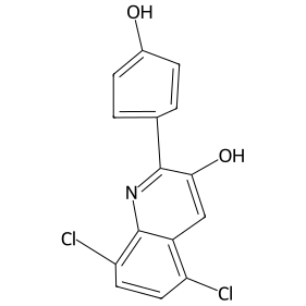 Oc1ccc(-c2nc3c(Cl)ccc(Cl)c3cc2O)cc1